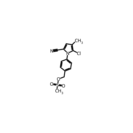 Cc1cc(C#N)n(-c2ccc(COS(C)(=O)=O)cc2)c1Cl